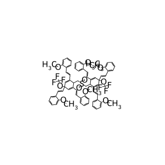 COc1ccccc1/C=C/C1=CC(/C=C/c2ccccc2OC)(OC(F)(F)F)C=C(/C=C/c2ccccc2OC)C1CS(=O)(=O)CC1C(/C=C/c2ccccc2OC)=CC(/C=C/c2ccccc2OC)(OC(F)(F)F)C=C1/C=C/c1ccccc1OC